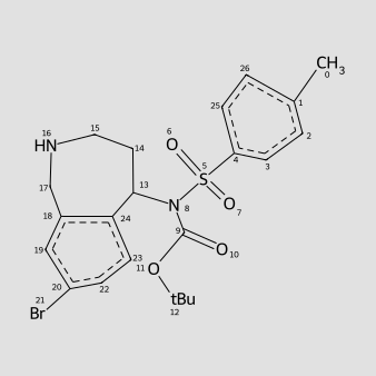 Cc1ccc(S(=O)(=O)N(C(=O)OC(C)(C)C)C2CCNCc3cc(Br)ccc32)cc1